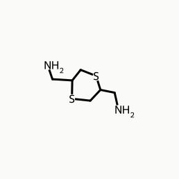 NCC1CSC(CN)CS1